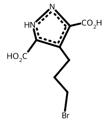 O=C(O)c1n[nH]c(C(=O)O)c1CCCBr